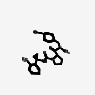 CN(Cc1ccc(Cl)cc1)C(=O)C1CCCN1C(=O)NC1(c2ccccc2C(F)(F)F)CC1